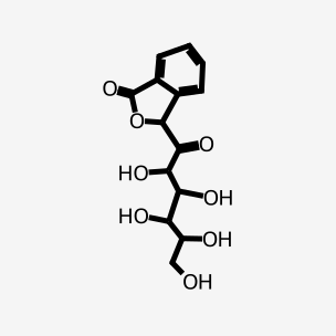 O=C1OC(C(=O)C(O)C(O)C(O)C(O)CO)c2ccccc21